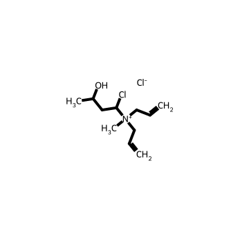 C=CC[N+](C)(CC=C)C(Cl)CC(C)O.[Cl-]